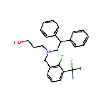 OCCCN(Cc1cccc(C(F)(F)F)c1F)CC(c1ccccc1)c1ccccc1